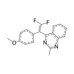 COc1ccc(C(=C(F)F)c2nc(C)nc3ccccc23)cc1